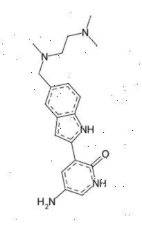 CN(C)CCN(C)Cc1ccc2[nH]c(-c3cc(N)c[nH]c3=O)cc2c1